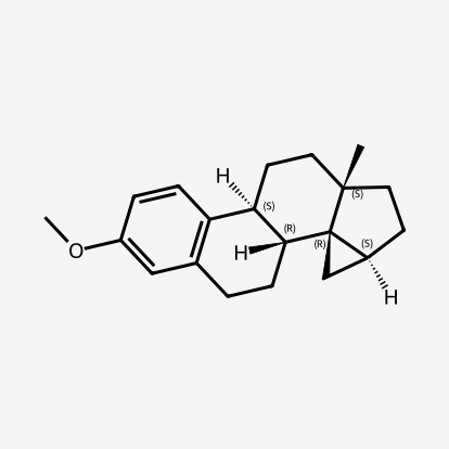 COc1ccc2c(c1)CC[C@@H]1[C@@H]2CC[C@]2(C)CC[C@H]3C[C@@]312